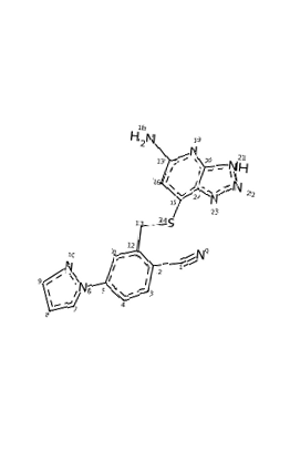 N#Cc1ccc(-n2cccn2)cc1CSc1cc(N)nc2[nH]nnc12